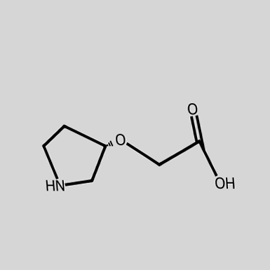 O=C(O)CO[C@H]1CCNC1